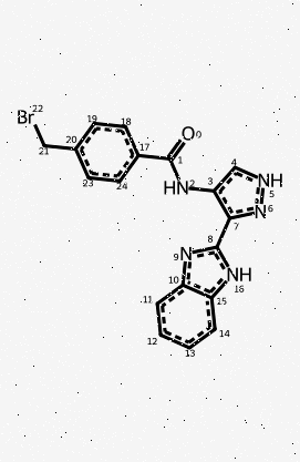 O=C(Nc1c[nH]nc1-c1nc2ccccc2[nH]1)c1ccc(CBr)cc1